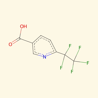 O=C(O)c1ccc(C(F)(F)C(F)(F)F)nc1